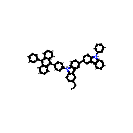 CC(C)Cc1ccc2c(c1)c1cc(-c3ccc4c(c3)c3ccccc3n4-c3ccccc3)ccc1n2-c1ccc(-c2c3ccccc3c(-c3ccccc3)c3ccccc23)cc1